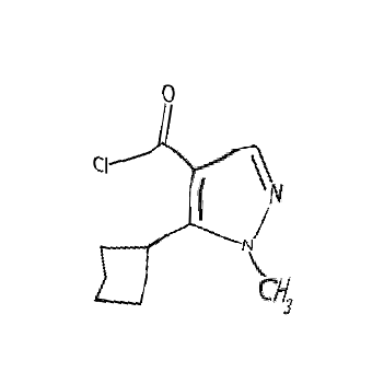 Cn1ncc(C(=O)Cl)c1C1CCC1